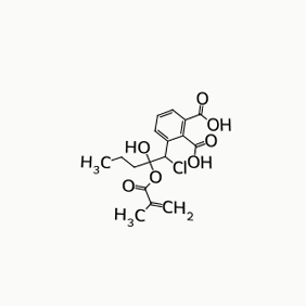 C=C(C)C(=O)OC(O)(CCC)C(Cl)c1cccc(C(=O)O)c1C(=O)O